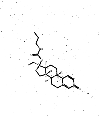 CCCNC(=O)O[C@]1(CC)CC[C@H]2[C@@H]3CCC4=CC(=O)C=C[C@]4(C)[C@H]3CC[C@@]21C